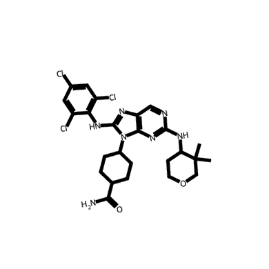 CC1(C)COCCC1Nc1ncc2nc(Nc3c(Cl)cc(Cl)cc3Cl)n(C3CCC(C(N)=O)CC3)c2n1